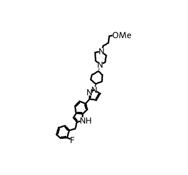 COCCCN1CCN([C@H]2CC[C@H](n3ccc(-c4ccc5cc(Cc6ccccc6F)[nH]c5c4)n3)CC2)CC1